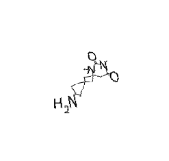 CN1C(=O)CC2(CC3(CCC(N)CC3)C2)N(C)C1=O